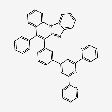 c1ccc(-c2c(-c3cccc(-c4cc(-c5ccccn5)nc(-c5ccccn5)c4)c3)c3nc4ccccc4n3c3ccccc23)cc1